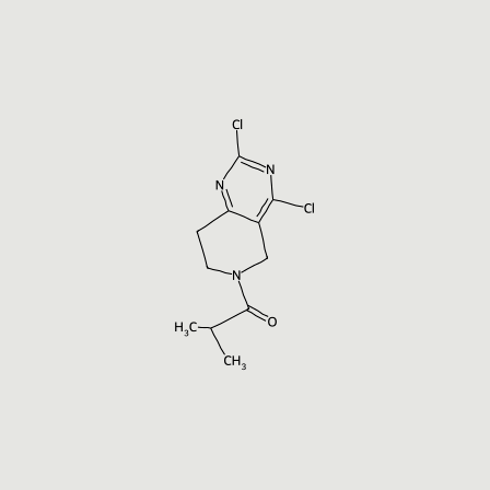 CC(C)C(=O)N1CCc2nc(Cl)nc(Cl)c2C1